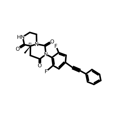 C[C@]12CC(=O)N(c3c(F)cc(C#Cc4ccccc4)cc3F)C(=O)N1CCNC2=O